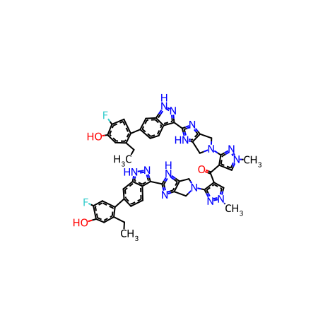 CCc1cc(O)c(F)cc1-c1ccc2c(-c3nc4c([nH]3)CN(c3nn(C)cc3C(=O)c3cn(C)nc3N3Cc5nc(-c6n[nH]c7cc(-c8cc(F)c(O)cc8CC)ccc67)[nH]c5C3)C4)n[nH]c2c1